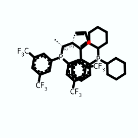 C[C@H]([C@@H]1C=CC=C1c1ccccc1P(C1CCCCC1)C1CCCCC1)P(c1cc(C(F)(F)F)cc(C(F)(F)F)c1)c1cc(C(F)(F)F)cc(C(F)(F)F)c1